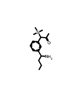 CCCC(N)c1cccc(C(C(C)=O)[Si](C)(C)C)c1